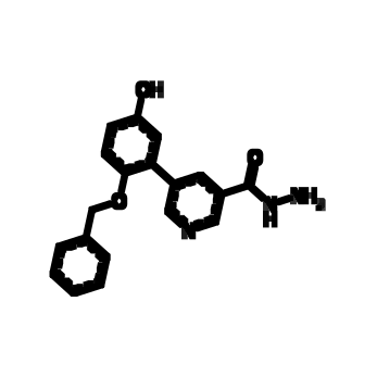 NNC(=O)c1cncc(-c2cc(O)ccc2OCc2ccccc2)c1